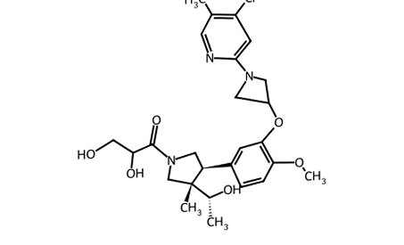 COc1ccc([C@@H]2CN(C(=O)C(O)CO)C[C@@]2(C)[C@@H](C)O)cc1OC1CN(c2cc(Cl)c(C)cn2)C1